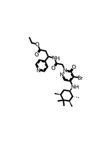 CCOC(=O)CC(NC(=O)Cn1ncc(N[C@@H]2C[C@H](C)C(C)(C)[C@H](C)[C@H]2C)c(Br)c1=O)c1ccncc1